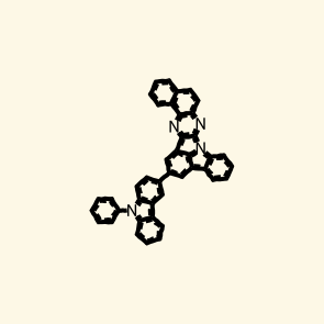 c1ccc(-n2c3ccccc3c3cc(-c4cc5c6ccccc6n6c7nc8ccc9ccccc9c8nc7c(c4)c56)ccc32)cc1